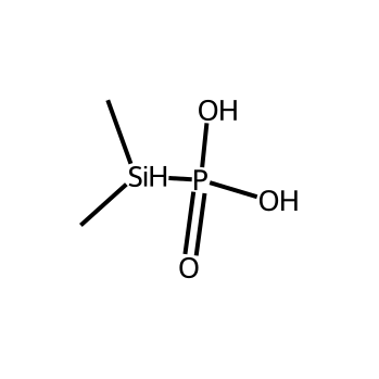 C[SiH](C)P(=O)(O)O